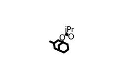 CC1CC2CCCC(OC(=O)C(C)C)(C1)C2